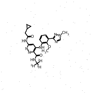 [2H]C([2H])([2H])NC(=O)c1nnc(NC(=O)CC2CC2)cc1Nc1cccc(-c2ncn(C)n2)c1OC